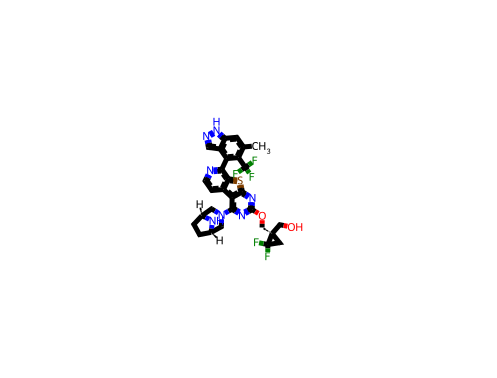 Cc1cc2[nH]ncc2c(-c2nccc3c2sc2nc(OC[C@]4(CO)CC4(F)F)nc(N4C[C@H]5CC[C@@H](C4)N5)c23)c1C(F)(F)F